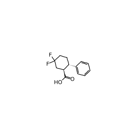 O=C(O)[C@H]1CC(F)(F)CC[C@@H]1c1ccccc1